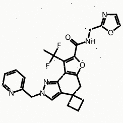 CC(F)(F)c1c(C(=O)NCc2ncco2)oc2c1-c1nn(Cc3ccccn3)cc1C1(CCC1)C2